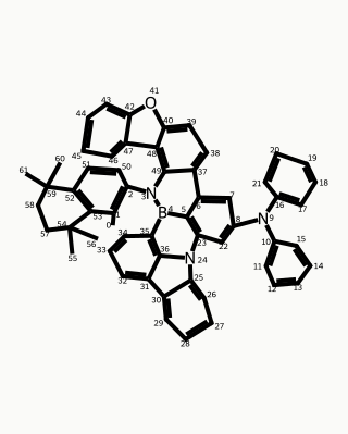 Cc1c(N2B3c4c(cc(N(c5ccccc5)c5ccccc5)cc4-n4c5ccccc5c5cccc3c54)-c3ccc4oc5ccccc5c4c32)ccc2c1C(C)(C)CCC2(C)C